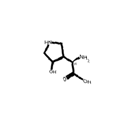 N[C@@H](C(=O)O)C1CNCC1O